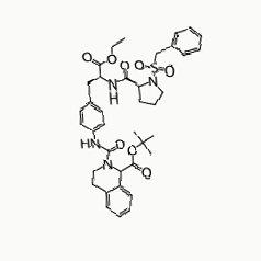 CCOC(=O)[C@H](Cc1ccc(NC(=O)N2CCc3ccccc3C2C(=O)OC(C)(C)C)cc1)NC(=O)[C@@H]1CCCN1S(=O)(=O)Cc1ccccc1